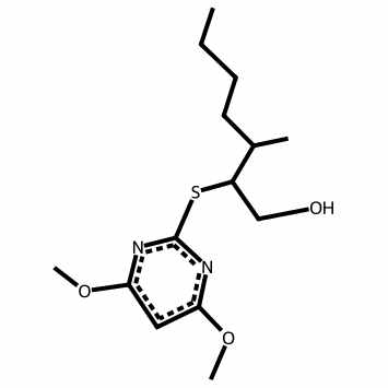 CCCCC(C)C(CO)Sc1nc(OC)cc(OC)n1